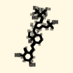 C=C1/C(=C\C=C2/CCC[C@]3(C)[C@@H]([C@@](C)(C/C=C\C(O)(C(F)(F)F)C(F)(F)F)CCCC(C)(C)O)CC[C@@H]23)C[C@@H](O)CC1O